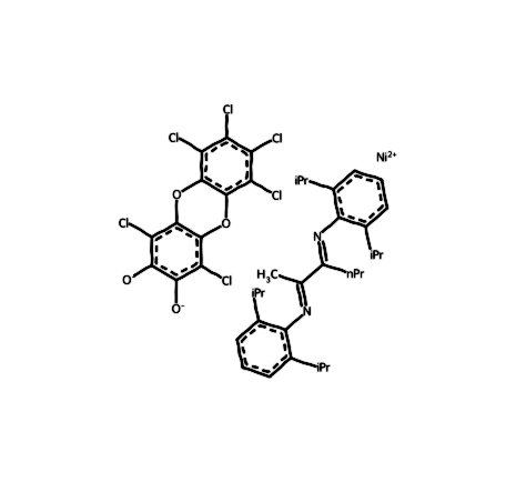 CCCC(=Nc1c(C(C)C)cccc1C(C)C)C(C)=Nc1c(C(C)C)cccc1C(C)C.[Ni+2].[O-]c1c([O-])c(Cl)c2c(c1Cl)Oc1c(Cl)c(Cl)c(Cl)c(Cl)c1O2